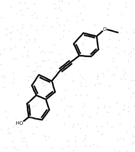 COc1ccc(C#Cc2ccc3cc(O)ccc3c2)cc1